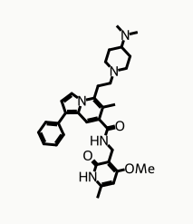 COc1cc(C)[nH]c(=O)c1CNC(=O)c1cc2c(-c3ccccc3)ccn2c(CCN2CCC(N(C)C)CC2)c1C